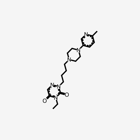 CCn1c(=O)cnn(CCCCN2CCN(c3ccc(C)nc3)CC2)c1=O